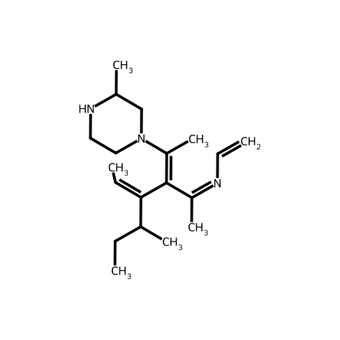 C=C\N=C(C)/C(C(=C\C)/C(C)CC)=C(\C)N1CCNC(C)C1